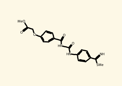 COC(=O)COc1ccc(C(=O)NC(=O)Nc2ccc(C(=N)SC)cc2)cc1